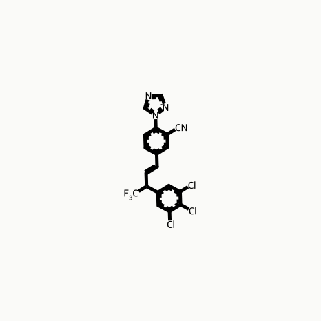 N#Cc1cc(/C=C/C(c2cc(Cl)c(Cl)c(Cl)c2)C(F)(F)F)ccc1-n1cncn1